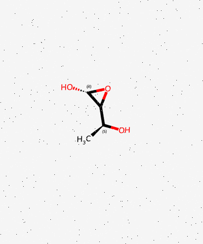 C[C@H](O)C1O[C@H]1O